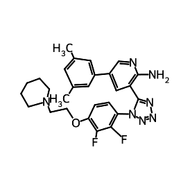 Cc1cc(C)cc(-c2cnc(N)c(-c3nnnn3-c3ccc(OCCN4CCCCC4)c(F)c3F)c2)c1